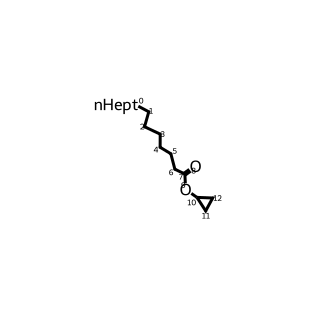 CCCCCCCCCCCCCC(=O)OC1CC1